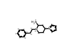 NC1CC(n2cccc2)CCN1CCc1ccccc1